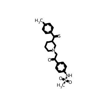 Cc1ccc(C(=S)C2CCCN(CC(=O)c3ccc(NS(C)(=O)=O)cc3)C2)cc1